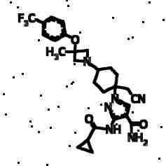 CC1(Oc2ccc(C(F)(F)F)cc2)CN(C2CCC(CC#N)(n3cc(C(N)=O)c(NC(=O)C4CC4)n3)CC2)C1